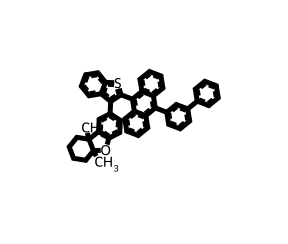 CC12CCCCC1(C)c1cc(-c3c(-c4c5ccccc5c(-c5cccc(-c6ccccc6)c5)c5ccccc45)sc4ccccc34)ccc1O2